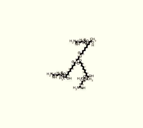 C[C@H](O)C(CCCCCCCC(=O)OCC(COC(=O)CCCCCCCC(OP(C)(=O)OCCSC(=N)N)[C@H](C)O)OC(=O)CCCCCCCC(OP(C)(=O)OCCSC(=N)N)[C@H](C)O)OP(C)(=O)OCCSC(=N)N